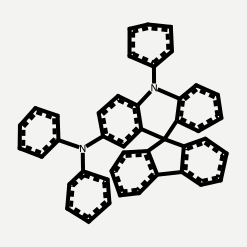 c1ccc(N(c2ccccc2)c2ccc3c(c2)C2(c4ccccc4-c4ccccc42)c2ccccc2N3c2ccccc2)cc1